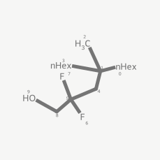 CCCCCCC(C)(CCCCCC)CC(F)(F)CO